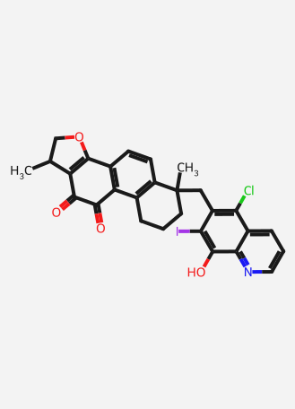 CC1COC2=C1C(=O)C(=O)c1c2ccc2c1CCCC2(C)Cc1c(I)c(O)c2ncccc2c1Cl